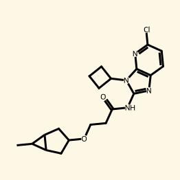 CC1C2CC(OCCC(=O)Nc3nc4ccc(Cl)nc4n3C3CCC3)CC12